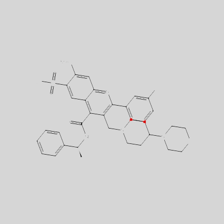 COc1cc2nc(-c3cccc(C(F)(F)F)c3)c(CN3CCC(N4CCOCC4)CC3)c(C(=O)N[C@@H](C)c3ccccc3)c2cc1S(C)(=O)=O